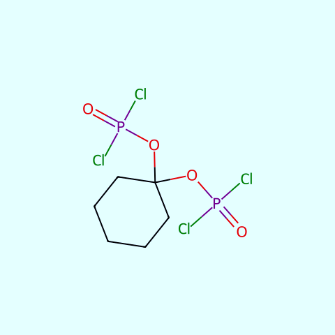 O=P(Cl)(Cl)OC1(OP(=O)(Cl)Cl)CCCCC1